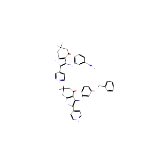 CC1(C)CC(=O)c2c([nH]c(-c3ccncc3)c2Nc2cccc(C#N)c2)C1.CC1(C)CC(=O)c2c([nH]c(-c3ccncc3)c2Nc2cccc(OCc3ccccc3)c2)C1